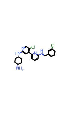 N[C@H]1CC[C@H](Nc2cc(-c3cccc(NCc4cccc(Cl)c4)n3)c(Cl)cn2)CC1